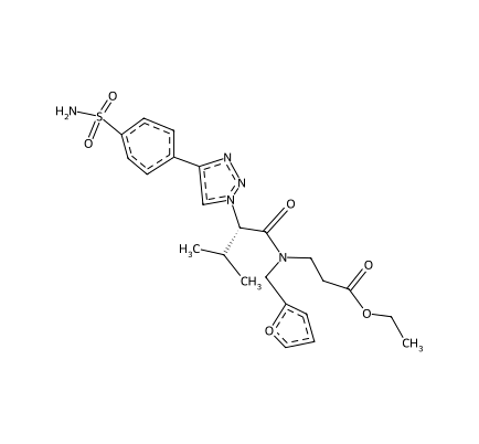 CCOC(=O)CCN(Cc1ccco1)C(=O)[C@H](C(C)C)n1cc(-c2ccc(S(N)(=O)=O)cc2)nn1